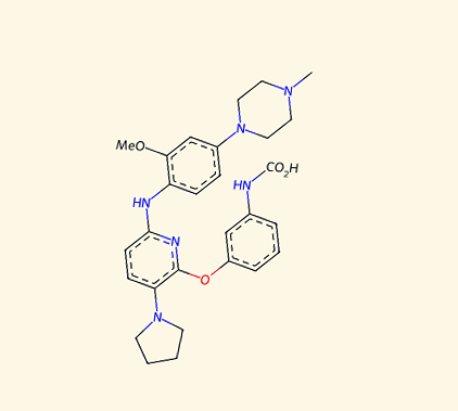 COc1cc(N2CCN(C)CC2)ccc1Nc1ccc(N2CCCC2)c(Oc2cccc(NC(=O)O)c2)n1